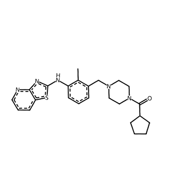 Cc1c(CN2CCN(C(=O)C3CCCC3)CC2)cccc1Nc1nc2ncccc2s1